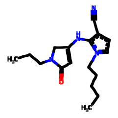 CCCCCn1ccc(C#N)c1NC1=CC(=O)N(CCC)C1